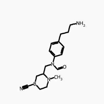 CN1CCB(C#N)CC1CN(C=O)c1ccc(CCCN)cc1